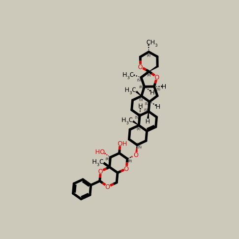 C[C@@H]1CC[C@@]2(OC1)O[C@H]1C[C@H]3[C@@H]4CC=C5C[C@@H](O[C@@H]6OC7COC(c8ccccc8)OC7(C)[C@H](O)C6O)CC[C@]5(C)[C@H]4CC[C@]3(C)[C@H]1[C@@H]2C